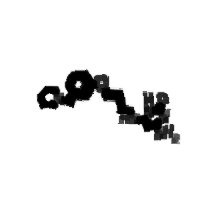 Nc1cc(NCC=CCOc2cccc(CN3CCCCC3)c2)[nH]c(=O)n1